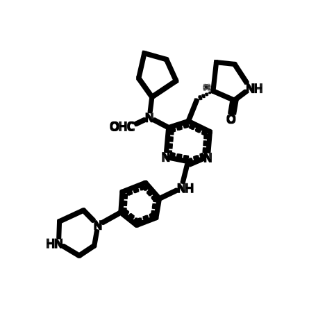 O=CN(c1nc(Nc2ccc(N3CCNCC3)cc2)ncc1C[C@@H]1CCNC1=O)C1CCCC1